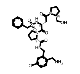 NCc1ccc(Cl)cc1CNC(=O)[C@@H]1CCCN1C(=O)[C@@H](CC(=O)N1CCC[C@H]1CO)NS(=O)(=O)Cc1ccccc1